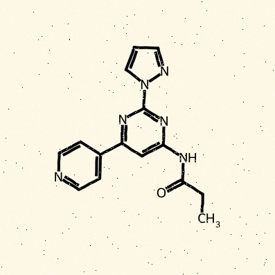 CCC(=O)Nc1cc(-c2ccncc2)nc(-n2cccn2)n1